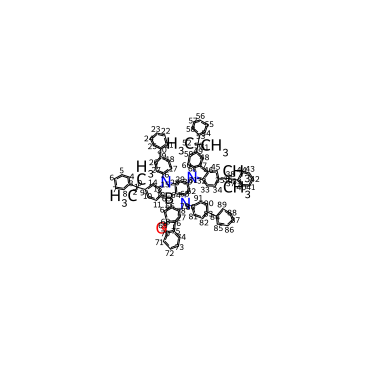 CC(C)(c1ccccc1)c1ccc2c(c1)N(c1ccc(-c3ccccc3)cc1)c1cc(-n3c4ccc(C(C)(C)c5ccccc5)cc4c4cc(C(C)(C)c5ccccc5)ccc43)cc3c1B2c1cc2oc4ccccc4c2cc1N3c1ccc(-c2ccccc2)cc1